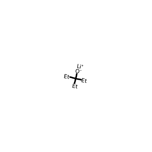 CCC([O-])(CC)CC.[Li+]